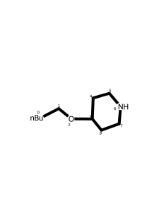 [CH2]CCCCOC1CCNCC1